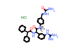 CN(C(=O)C(NC(=O)C(c1ccccc1)c1ccccc1)c1cccc(NC(=N)N)c1)c1ccc(CNC(N)=O)cc1.Cl